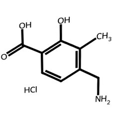 Cc1c(CN)ccc(C(=O)O)c1O.Cl